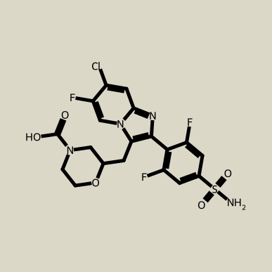 NS(=O)(=O)c1cc(F)c(-c2nc3cc(Cl)c(F)cn3c2CC2CN(C(=O)O)CCO2)c(F)c1